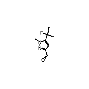 Cn1nc(C=O)cc1C(F)(F)F